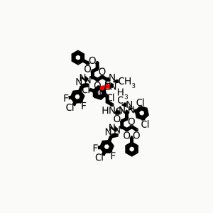 Cc1nc(C2OC3COC(c4ccccc4)OC3C(n3cc(-c4cc(F)c(Cl)c(F)c4)nn3)C2OC(=O)NCCCNC(=O)OC2C(c3nc(C)nn3-c3cc(Cl)ccc3Cl)OC3COC(c4ccccc4)OC3C2n2cc(-c3cc(F)c(Cl)c(F)c3)nn2)n(-c2cc(Cl)ccc2Cl)n1